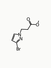 COC(=O)CCn1ccc(Br)n1